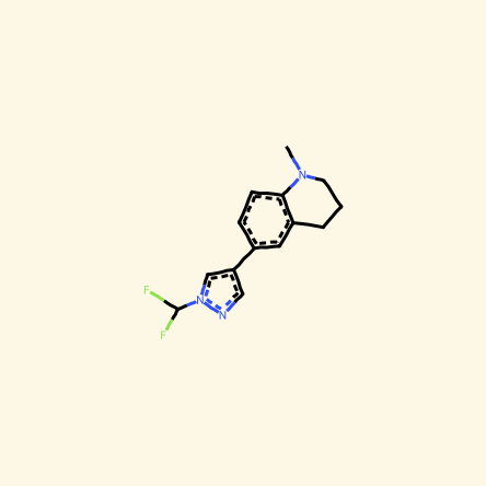 CN1CCCc2cc(-c3cnn(C(F)F)c3)ccc21